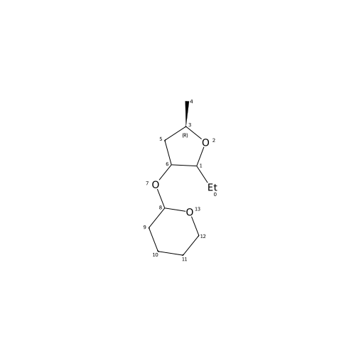 CCC1O[C@H](C)CC1OC1CCCCO1